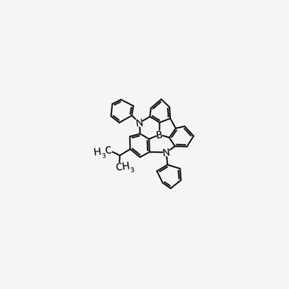 CC(C)c1cc2c3c(c1)N(c1ccccc1)c1cccc4c1B3c1c-4cccc1N2c1ccccc1